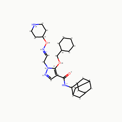 O=C(NC1C2CC3CC(C2)CC1C3)c1cnn(C/C=N/OC2CCNCC2)c1OCC1CCCCC1